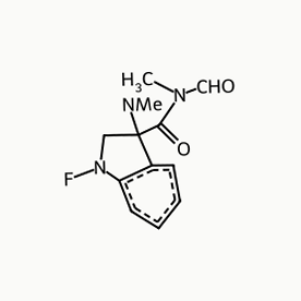 CNC1(C(=O)N(C)C=O)CN(F)c2ccccc21